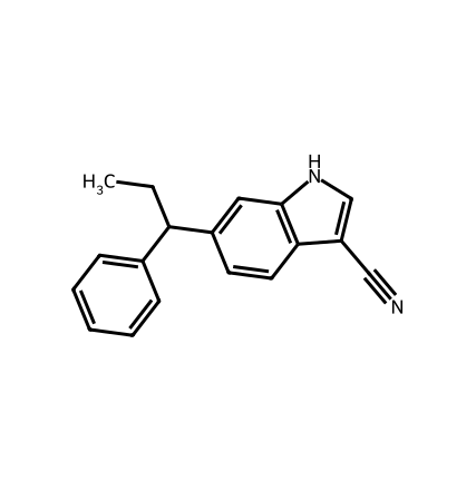 CCC(c1ccccc1)c1ccc2c(C#N)c[nH]c2c1